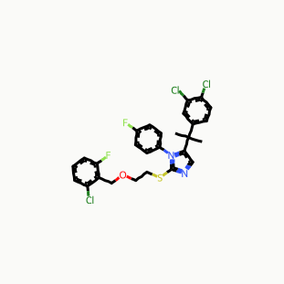 CC(C)(c1ccc(Cl)c(Cl)c1)c1cnc(SCCOCc2c(F)cccc2Cl)n1-c1ccc(F)cc1